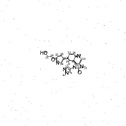 Cc1nn(C)cc1-n1c(=O)n(C)c2cnc3ccc(-c4ccc(OCCO)nc4)cc3c21